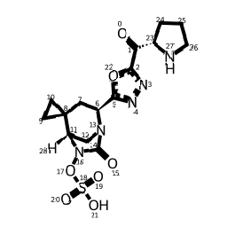 O=C(c1nnc([C@@H]2CC3(CC3)[C@@H]3CN2C(=O)N3OS(=O)(=O)O)o1)[C@@H]1CCCN1